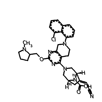 CN1CCCC1COc1nc2c(c(N3C[C@H]4CC(=CC#N)[C@@H](C3)N4C(=O)O)n1)CCN(c1cccc3cccc(Cl)c13)C2